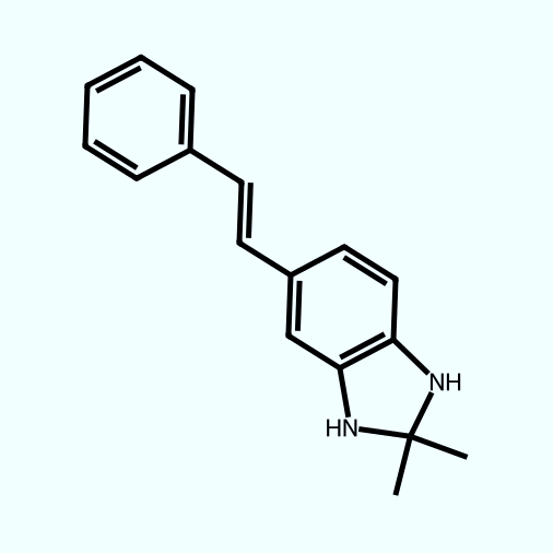 CC1(C)Nc2ccc(C=Cc3ccccc3)cc2N1